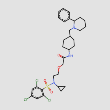 O=C(COCCN(C1CC1)S(=O)(=O)c1c(Cl)cc(Cl)cc1Cl)NC1CCC(CN2CCCCC2c2ccccc2)CC1